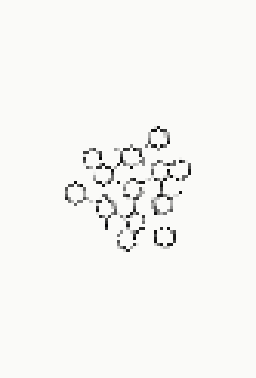 Cc1cc(-c2ccccc2)ncc1-c1c(-c2cc(-c3ccc4ccccc4c3-c3cnc(-c4ccccc4)cc3C)cc(-c3ccc4ccccc4c3-c3cnc(-c4ccccc4)cc3C)c2)ccc2ccccc12